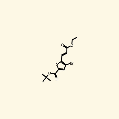 CCOC(=O)/C=C/c1sc(C(=O)OC(C)(C)C)cc1Br